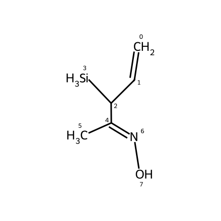 C=CC([SiH3])C(C)=NO